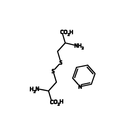 NC(CSSCC(N)C(=O)O)C(=O)O.c1ccncc1